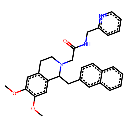 COc1cc2c(cc1OC)C(Cc1ccc3ccccc3c1)N(CC(=O)NCc1ccccn1)CC2